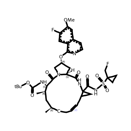 COc1cc2ccnc(O[C@@H]3C[C@H]4C(=O)NC5(C(=O)NS(=O)(=O)C6(CF)CC6)CC5/C=C\CC[C@@H](C)C[C@@H](C)[C@H](NC(=O)OC(C)(C)C)C(=O)N4C3)c2cc1F